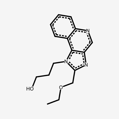 CCOCc1nc2cnc3ccccc3c2n1CCCO